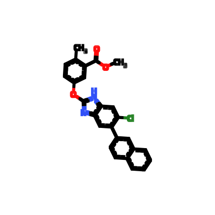 COC(=O)c1cc(Oc2nc3cc(-c4ccc5ccccc5c4)c(Cl)cc3[nH]2)ccc1C